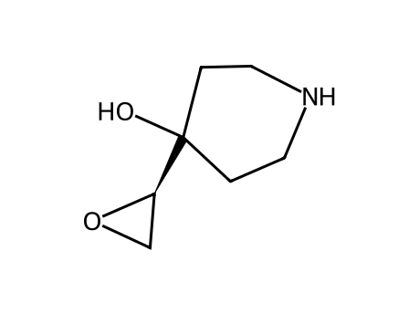 OC1([C@H]2CO2)CCNCC1